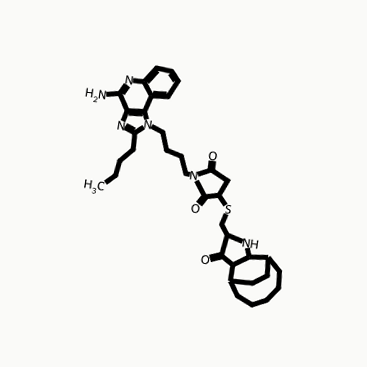 CCCCc1nc2c(N)nc3ccccc3c2n1CCCCN1C(=O)CC(SCC2NC3C4CCCCCC(CC4)C3C2=O)C1=O